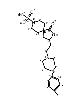 Cc1ccc(N2CCN(CC[C@H]3CC4(CCN(S(=O)(=O)C(C)C)CC4)C(=O)O3)CC2)cc1